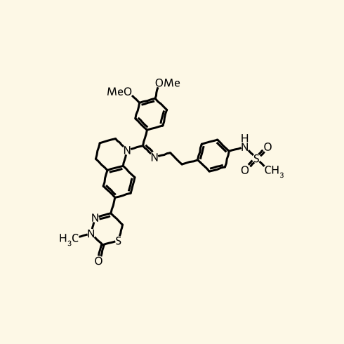 COc1ccc(C(=NCCc2ccc(NS(C)(=O)=O)cc2)N2CCCc3cc(C4=NN(C)C(=O)SC4)ccc32)cc1OC